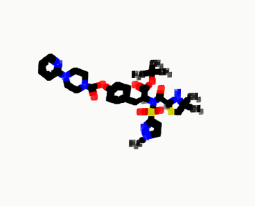 Cn1ccc(S(=O)(=O)N(C(=O)[C@H]2NC(C)(C)CS2)[C@@H](Cc2ccc(OC(=O)N3CCN(c4ccccn4)CC3)cc2)C(=O)OC(C)(C)C)n1